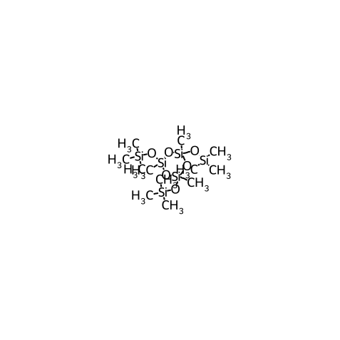 C[Si](C)(C)O[Si]1(C)O[Si](C)(O[Si](C)(C)C)O[Si](C)(O[Si](C)(C)C)O1